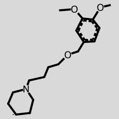 COc1ccc(COCCCCN2CC[CH]CC2)cc1OC